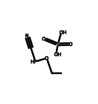 CCOPC#N.O=S(=O)(O)O